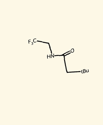 [CH2]C(C)(C)CC(=O)NCC(F)(F)F